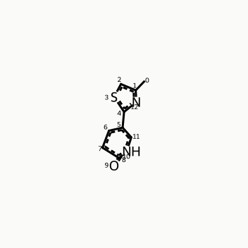 Cc1csc(-c2ccc(=O)[nH]c2)n1